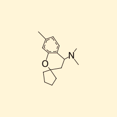 Cc1ccc2c(c1)OC1(CCCC1)CC2N(C)C